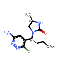 COCC[C@H](c1cc(N)nnc1Cl)N1C[C@@H](C(F)(F)F)NC1=O